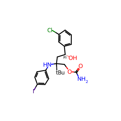 CC(C)(C)C(COC(N)=O)(C[C@@H](O)c1cccc(Cl)c1)Nc1ccc(I)cc1